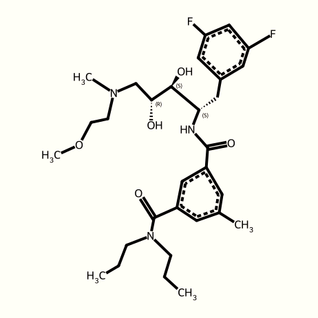 CCCN(CCC)C(=O)c1cc(C)cc(C(=O)N[C@@H](Cc2cc(F)cc(F)c2)[C@H](O)[C@H](O)CN(C)CCOC)c1